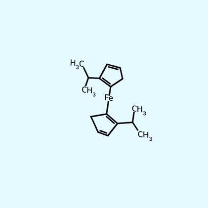 CC(C)C1=[C]([Fe][C]2=C(C(C)C)C=CC2)CC=C1